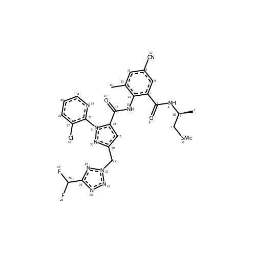 CSC[C@H](C)NC(=O)c1cc(C#N)cc(C)c1NC(=O)c1cc(Cn2nnc(C(F)F)n2)nn1-c1ncccc1Cl